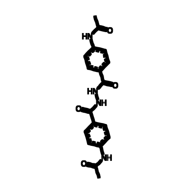 CC(=O)Nc1ccc(C(=O)NNC(=O)c2ccc(NC(C)=O)cc2)cc1